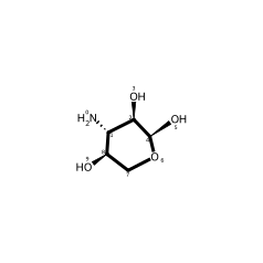 N[C@@H]1[C@@H](O)[C@@H](O)OC[C@H]1O